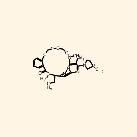 CCC1c2cc3nc(N4CC[C@H](C)C4)c(C)c(n3n2)N(C)CCCCCCc2ccccc2C(=O)N1C